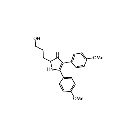 COc1ccc(C2=C(c3ccc(OC)cc3)NC(CCCO)N2)cc1